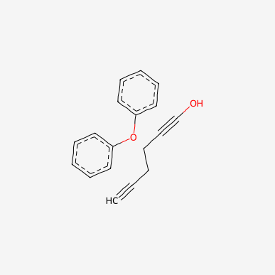 C#CCCC#CO.c1ccc(Oc2ccccc2)cc1